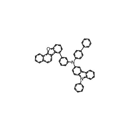 c1ccc(-c2ccc(N(c3cccc(-c4cccc5oc6c7ccccc7ccc6c45)c3)c3ccc4c(c3)c3ccccc3n4-c3ccccc3)cc2)cc1